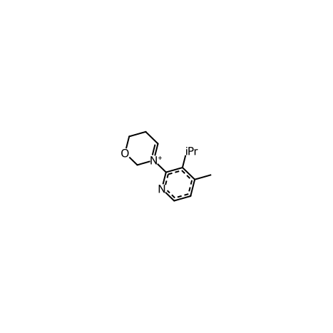 Cc1ccnc([N+]2=CCCOC2)c1C(C)C